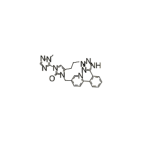 CCCc1cn(-c2ncnn2C)c(=O)n1Cc1ccc(-c2ccccc2-c2nnn[nH]2)nc1